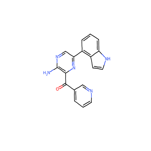 Nc1ncc(-c2cccc3[nH]ccc23)nc1C(=O)c1cccnc1